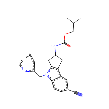 CC(C)COC(=O)NC1Cc2c(n(Cc3ccccn3)c3ccc(C#N)cc23)C1